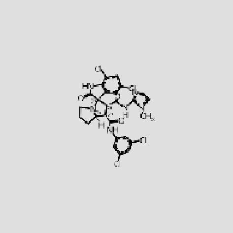 Cn1ccnc1NC(=O)[C@H]1[C@@H](C(=O)Nc2cc(Cl)cc(Cl)c2)[C@H]2CCCN2[C@]12C(=O)Nc1c(Cl)cc(Cl)cc12